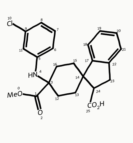 COC(=O)C1(Nc2cccc(Cl)c2)CCC2(CC1)c1ccccc1CC2C(=O)O